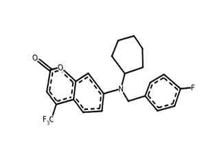 O=c1cc(C(F)(F)F)c2ccc(N(Cc3ccc(F)cc3)C3CCCCC3)cc2o1